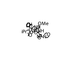 COCCC(NC(=O)c1cc(CN2CCOCC2)on1)C(=O)N[C@@H](Cc1ccccc1)C(=O)NC(CC(C)C)C(=O)[C@@]1(C)CO1